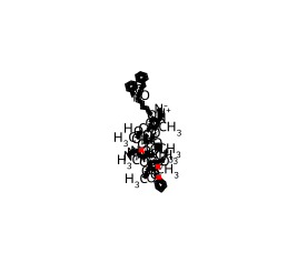 CCC1O[C@H](OCCCCCN(Cc2ccccc2)C(=O)OCc2ccccc2)C(N=[N+]=[N-])C(C)[C@@H]1O[C@@H]1O[C@@H](C(=O)OC)[C@@H](O[C@H]2OC(CC)[C@@H](O[C@@H]3OC(C(C)=O)[C@@H](C)[C@@H](OCc4ccccc4)C3OC(C)=O)[C@H](C)C2N=[N+]=[N-])C(C)C1OC(C)=O